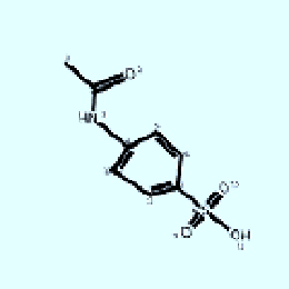 CC(=O)Nc1ccc(S(=O)(=O)O)cc1